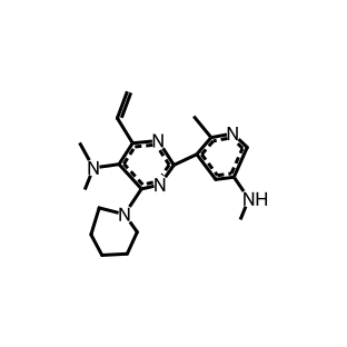 C=Cc1nc(-c2cc(NC)cnc2C)nc(N2CCCCC2)c1N(C)C